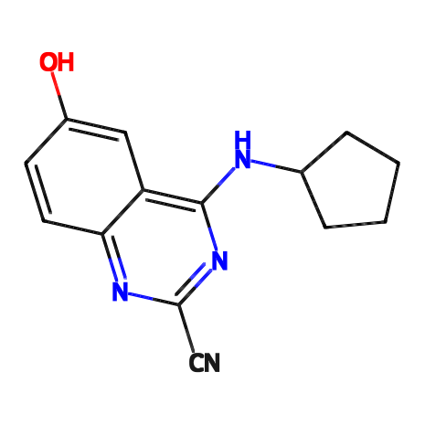 N#Cc1nc(NC2CCCC2)c2cc(O)ccc2n1